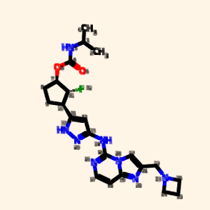 CC(C)NC(=O)O[C@@H]1CC[C@H](c2cc(Nc3nccc4nc(CN5CCC5)cn34)n[nH]2)[C@H]1F